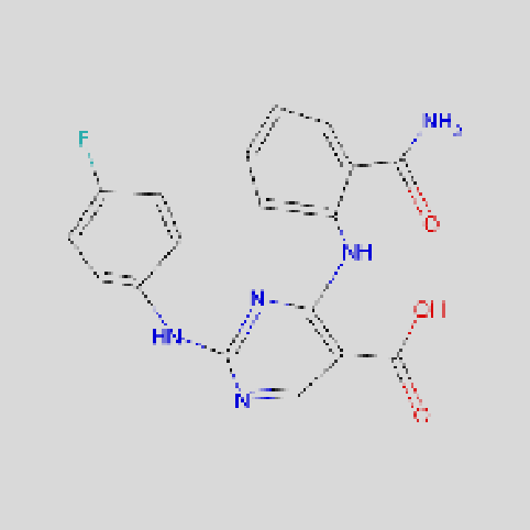 NC(=O)c1ccccc1Nc1nc(Nc2ccc(F)cc2)ncc1C(=O)O